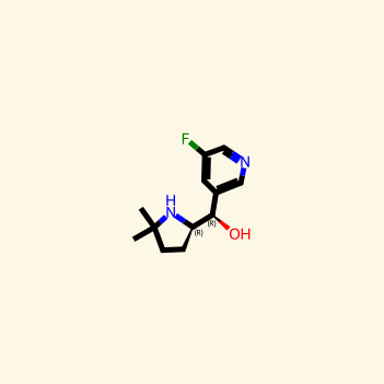 CC1(C)CC[C@H]([C@H](O)c2cncc(F)c2)N1